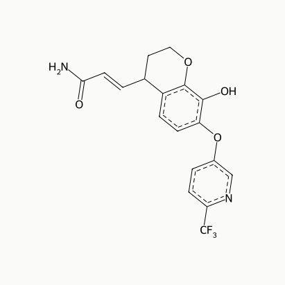 NC(=O)C=CC1CCOc2c1ccc(Oc1ccc(C(F)(F)F)nc1)c2O